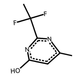 Cc1cc(O)nc(C(C)(F)F)n1